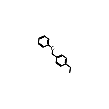 CCc1ccc(COc2ccccc2)cc1